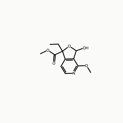 CCC1(C(=O)OC)OC(O)c2c1ccnc2OC